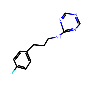 Fc1ccc(CCCNc2ncncn2)cc1